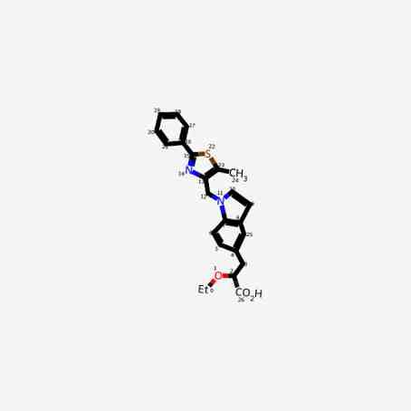 CCOC(Cc1ccc2c(ccn2Cc2nc(-c3ccccc3)sc2C)c1)C(=O)O